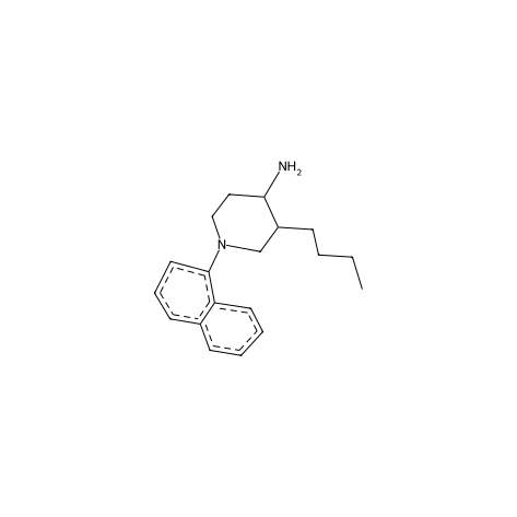 CCCCC1CN(c2cccc3ccccc23)CCC1N